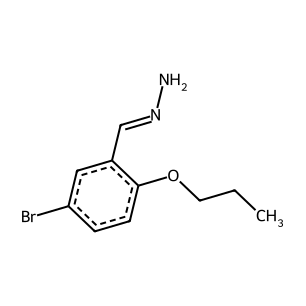 CCCOc1ccc(Br)cc1C=NN